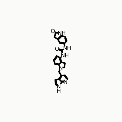 O=C1Cc2cc(NC(=O)Nc3cccc4c3CCN4Cc3ccnc4[nH]ccc34)ccc2N1